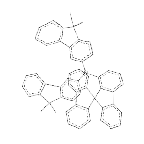 CC1(C)c2ccccc2-c2cc(N(c3ccc4c(c3)-c3ccccc3C4(C)C)c3cccc4c3C3(c5ccccc5-c5ccccc53)c3ccccc3-4)ccc21